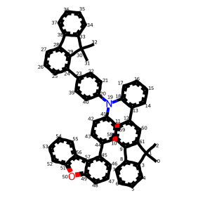 CC1(C)c2ccccc2-c2ccc(-c3ccccc3N(c3ccc(-c4cccc5c4C(C)(C)c4ccccc4-5)cc3)c3ccc(-c4cccc5oc6ccccc6c45)cc3)cc21